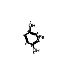 Oc1ccc(O)cc1.[Fe]